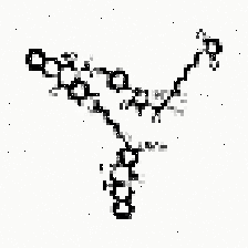 COc1cc2c(cc1OCCCCCOc1cc3c(cc1OC)C(=O)N1Cc4ccccc4CC1C(O)N3C(=O)OCc1ccc(NC(=O)[C@H](C)NC(=O)[C@@H](NC(=O)CCCCCN3C(=O)C=CC3=O)C(C)C)cc1)NC[C@@H]1Cc3ccccc3CN1C2=O